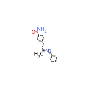 C[C@@H](CCc1ccc(C(N)=O)cc1)N1C[C@H]1c1ccccc1